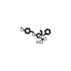 C=C[C@@]1(Cc2ccccc2)C[C@@H](OCc2ccc(OC)cc2)CN1C(=O)O